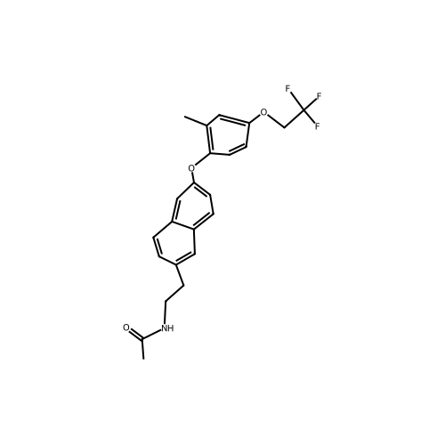 CC(=O)NCCc1ccc2cc(Oc3ccc(OCC(F)(F)F)cc3C)ccc2c1